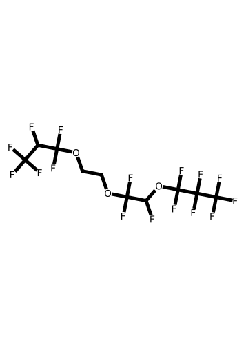 FC(OC(F)(F)C(F)(F)C(F)(F)F)C(F)(F)OCCOC(F)(F)C(F)C(F)(F)F